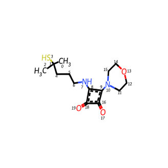 CC(C)(S)CCCNc1c(N2CCOCC2)c(=O)c1=O